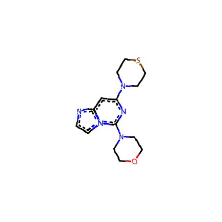 c1cn2c(N3CCOCC3)nc(N3CCSCC3)cc2n1